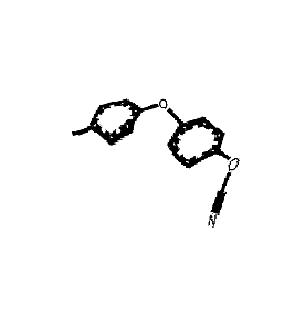 Cc1ccc(Oc2ccc(OC#N)cc2)cc1